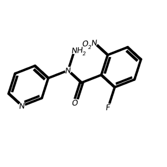 NN(C(=O)c1c(F)cccc1[N+](=O)[O-])c1cccnc1